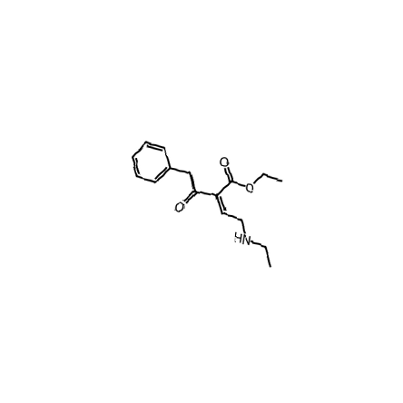 CCNCC=C(C(=O)Cc1ccccc1)C(=O)OCC